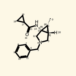 C[C@@H]1[C@@H]2CN(Cc3ccccc3)C[C@@]12NC(=O)C1CC1